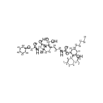 C=C(C)[C@@H]1CCC(C)=C[C@H]1c1c(O)cc(CCCCC)cc1OC(=O)NC/C=C/C1=C(C(O)O)N2C(=O)[C@@H](NC(=O)COc3ccccc3)[C@H]2CC1